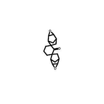 O=C1C2(CCCC13CC1CC3C3OC13)CC1CC2C2OC12